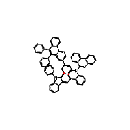 c1ccc(-c2c(-c3ccccc3)c3cc(-c4cccc(N(c5ccccc5-c5ccc6c(c5)c5ccccc5n6-c5ccccc5)c5cc6ccccc6c6ccccc56)c4)ccc3c3ccccc23)cc1